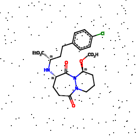 CCOC(=O)[C@H](CCc1ccc(Cl)cc1)N[C@H]1CCC(=O)N2CCC[C@H](OC(=O)O)N2C1=O